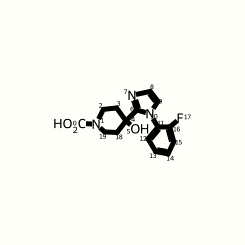 O=C(O)N1CCC(O)(c2nccn2-c2ccccc2F)CC1